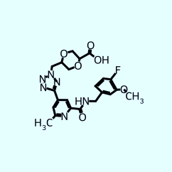 COc1cc(CNC(=O)c2cc(-c3nnn(CC4COC(C(=O)O)CO4)n3)cc(C)n2)ccc1F